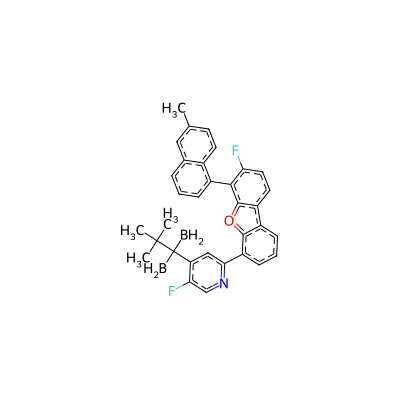 BC(B)(c1cc(-c2cccc3c2oc2c(-c4cccc5cc(C)ccc45)c(F)ccc23)ncc1F)C(C)(C)C